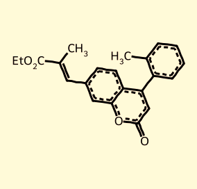 CCOC(=O)/C(C)=C/c1ccc2c(-c3ccccc3C)cc(=O)oc2c1